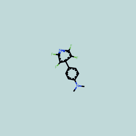 CN(C)c1ccc(-c2c(F)c(F)nc(F)c2F)cc1